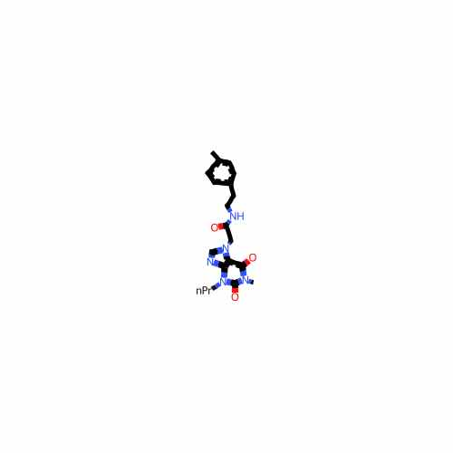 CCCn1c(=O)n(C)c(=O)c2c1ncn2CC(=O)NCCc1ccc(C)cc1